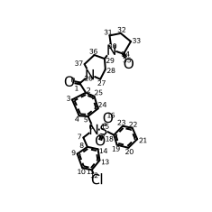 O=C(c1ccc(N(Cc2ccc(Cl)cc2)S(=O)(=O)c2ccccc2)cc1)N1CCC(N2CCCC2=O)CC1